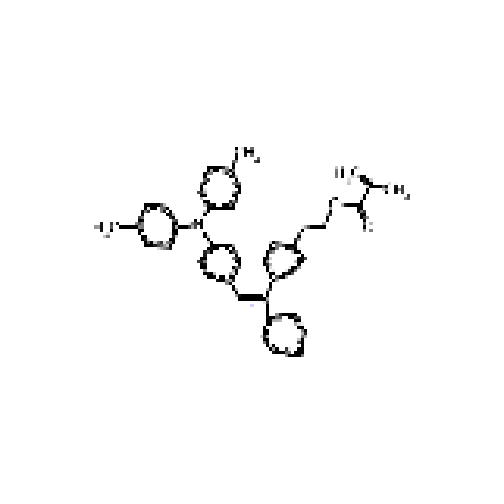 C=C(C)C(=O)OCCc1ccc(/C(=C\c2ccc(N(c3ccc(C)cc3)c3ccc(C)cc3)cc2)c2ccccc2)cc1